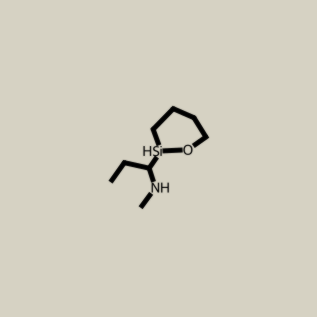 CCC(NC)[SiH]1CCCCO1